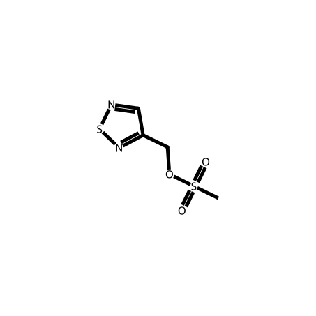 CS(=O)(=O)OCc1cnsn1